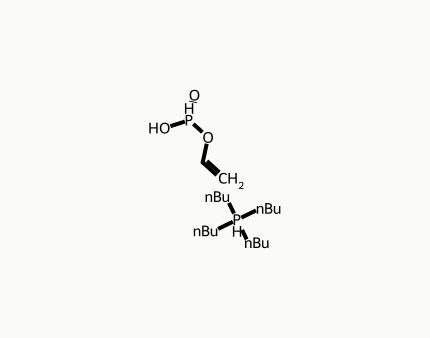 C=CO[PH](=O)O.CCCC[PH](CCCC)(CCCC)CCCC